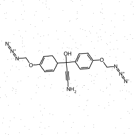 [N-]=[N+]=NCOC1=CCC(C(O)(C#CN)c2ccc(OCN=[N+]=[N-])cc2)C=C1